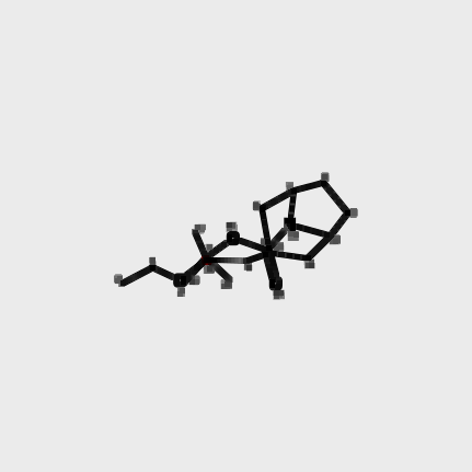 CCOCCC1CC2CCC(C1)N2C(=O)OC(C)(C)C